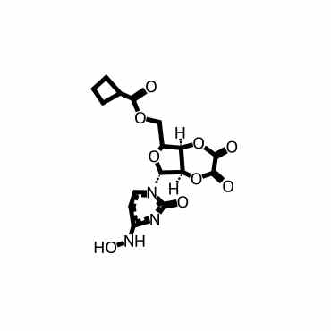 O=C1O[C@@H]2[C@H](OC1=O)C(COC(=O)C1CCC1)O[C@H]2n1ccc(NO)nc1=O